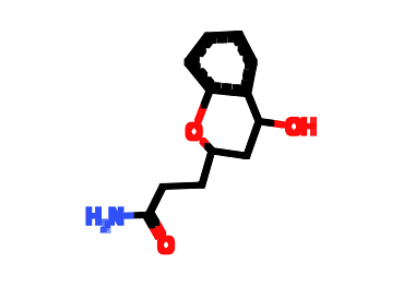 NC(=O)CCC1CC(O)c2ccccc2O1